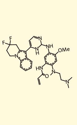 C=CC(=O)Nc1cc(NC2N=CC=C(c3c4n(c5ccccc35)CCC(F)(F)C4)N2)c(OC)cc1N(C)CCN(C)C